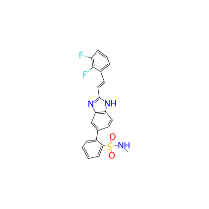 CNS(=O)(=O)c1ccccc1-c1ccc2[nH]c(C=Cc3cccc(F)c3F)nc2c1